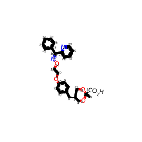 C[C@]1(C(=O)O)OC[C@@H](Cc2ccc(OCCO/N=C(/c3ccccc3)c3ccccn3)cc2)CO1